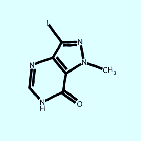 Cn1nc(I)c2nc[nH]c(=O)c21